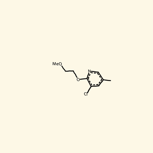 COCCOc1ncc(C)cc1Cl